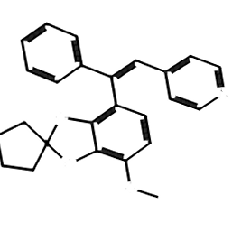 COc1ccc(/C(=C\c2ccncc2)c2ccccc2)c2c1OC1(CCCC1)O2